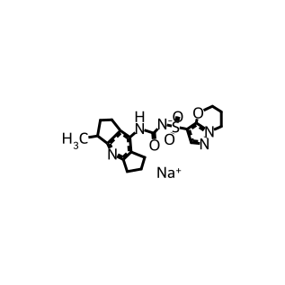 CC1CCc2c1nc1c(c2NC(=O)[N-]S(=O)(=O)c2cnn3c2OCCC3)CCC1.[Na+]